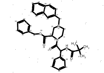 CC(C)(C)C(=O)NC(C(=O)N1CCN(Cc2ccc3ccccc3c2)CC1C(=O)OCc1ccccc1)c1ccccc1